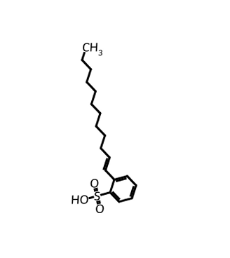 CCCCCCCCCCC=Cc1ccccc1S(=O)(=O)O